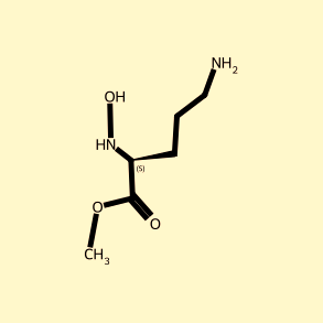 COC(=O)[C@H](CCCN)NO